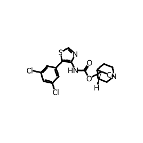 O=C(Nc1ncsc1-c1cc(Cl)cc(Cl)c1)O[C@H]1CN2CCC1CC2